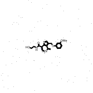 C=C(N)c1c(COc2cccc(OC)c2)csc1/C(=C\C)C(=O)NCCO